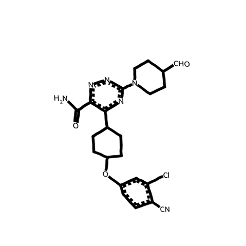 N#Cc1ccc(OC2CCC(c3nc(N4CCC(C=O)CC4)nnc3C(N)=O)CC2)cc1Cl